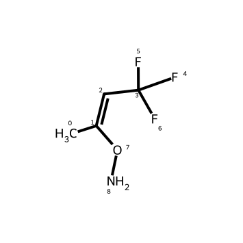 C/C(=C/C(F)(F)F)ON